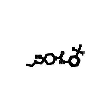 CCSCC1(O)CCN(C(=O)Nc2cccc(C(F)(F)F)c2)CC1